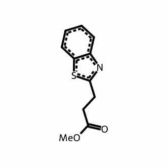 COC(=O)CCc1nc2ccccc2s1